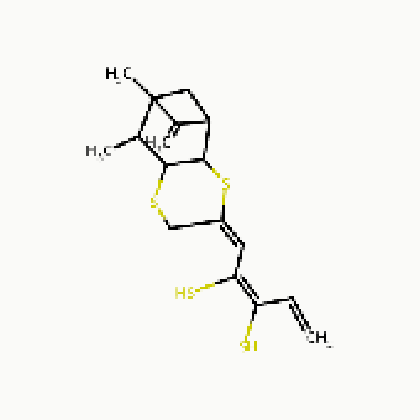 C=C/C(S)=C(S)\C=C1/CSC2C(S1)C1CC(C)(C1=C)C2C